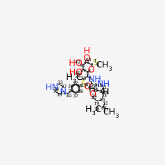 CSC1O[C@H]([C@H](NC(=O)[C@H]2NC[C@@H]3C[C@H](CC(C)C)CCO[C@H]32)[C@H](C)Sc2ccc(CN3CCNCC3)cc2)C(O)C(O)[C@H]1O